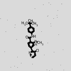 CNc1cc(-c2ncccc2Cl)ccc1C(=O)Nc1ccc(C(C)(C)C)cc1